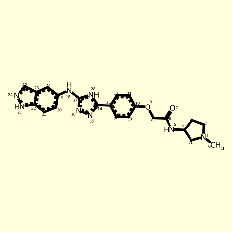 CN1CCC(NC(=O)COc2ccc(-c3nnc(Nc4ccc5[nH]ncc5c4)[nH]3)cc2)C1